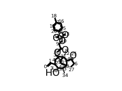 C=C[C@@]1(C)C[C@@H](OC(=O)COS(=O)(=O)c2ccc(C)cc2)[C@@]2(C)C3C(=O)CC[C@@]3(CC[C@H]2C)[C@@H](C)[C@@H]1O